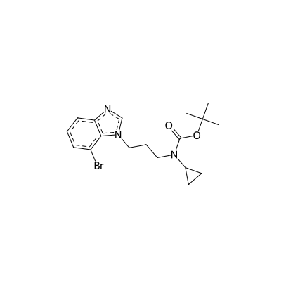 CC(C)(C)OC(=O)N(CCCn1cnc2cccc(Br)c21)C1CC1